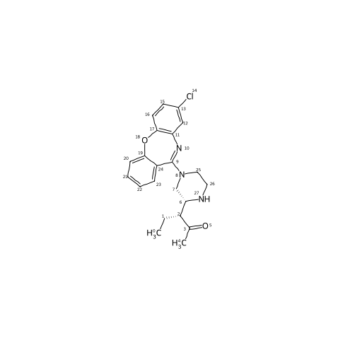 CC[C@@H](C(C)=O)[C@@H]1CN(C2=Nc3cc(Cl)ccc3Oc3ccccc32)CCN1